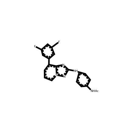 CC(=O)Nc1ccc(Nc2nc3c(-c4cc(F)cc(F)c4)cccn3n2)cc1